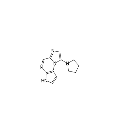 c1cc2c(ncc3ncc(N4CCCC4)n32)[nH]1